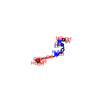 CCNC(=O)c1nnc(-c2cc(C(C)C)c(O)cc2O)n1-c1ccc(CC2CCN(C(=O)[C@@H](N)Cc3cn(CCOCCOCCOCCO[C@@H]4O[C@H](CO)[C@@H](O)[C@H](O)[C@H]4O)nn3)CC2)cc1